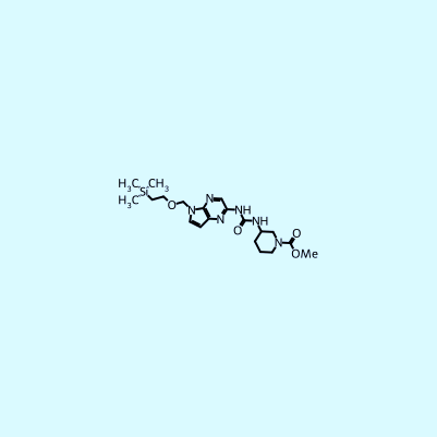 COC(=O)N1CCCC(NC(=O)Nc2cnc3c(ccn3COCC[Si](C)(C)C)n2)C1